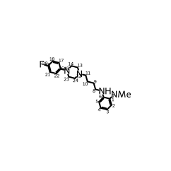 CNc1ccccc1NCCCCN1CCN(c2ccc(F)cc2)CC1